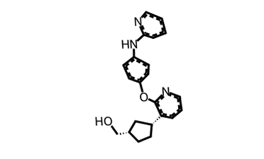 OC[C@H]1CC[C@@H](c2cccnc2Oc2ccc(Nc3ccccn3)cc2)C1